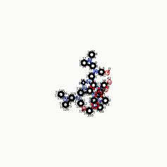 COc1ccc(N(c2ccc3c(c2)c2ccccc2n3-c2ccccc2)c2ccc3c(c2)c2cc(N(c4ccc(OC)cc4)c4ccc5c(c4)c4ccccc4n5-c4ccccc4)ccc2n3C2CCC2n2c3ccc(N(c4ccc(OC)cc4)c4ccc5c(c4)c4ccccc4n5-c4ccccc4)cc3c3cc(N(c4ccc(OC)cc4)c4ccc5c(c4)c4ccccc4n5-c4ccccc4)ccc32)cc1